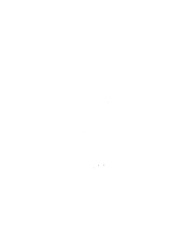 C=C(C(=O)OC)C1CCCCO1